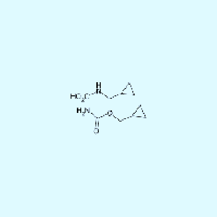 NC(=O)OCC1CC1.O=C(O)NCC1CC1